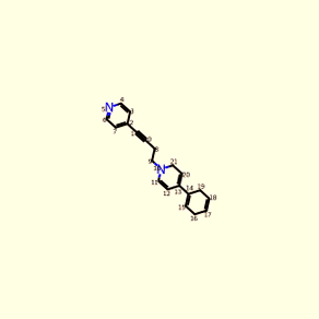 C(#Cc1ccncc1)CCN1C=CC(C2=CCC=CC2)=CC1